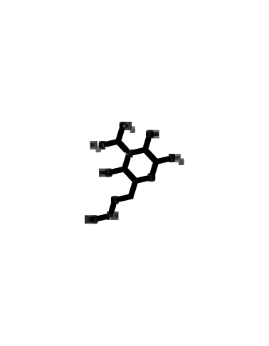 BC1OC(COPO)C(O)N(C(C)C)C1O